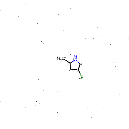 [CH2]C1CC(F)CN1